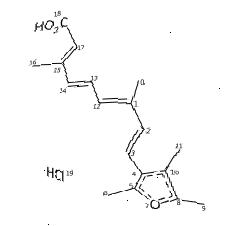 CC(C=Cc1c(C)oc(C)c1C)=CC=CC(C)=CC(=O)O.Cl